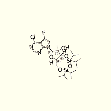 CC(C)[Si]1(C(C)C)OC[C@H]2O[C@@H](n3cc(F)c4c(Cl)ncnc43)[C@@](C)(O)[C@@H]2O[Si](C(C)C)(C(C)C)O1